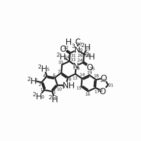 [2H]c1c([2H])c([2H])c2c3c([nH]c2c1[2H])C(c1ccc2c(c1)OCO2)N1C(=O)C([2H])([2H])N(C)C(=O)[C@@]1([2H])C3